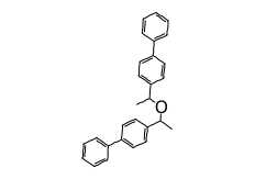 CC(OC(C)c1ccc(-c2ccccc2)cc1)c1ccc(-c2ccccc2)cc1